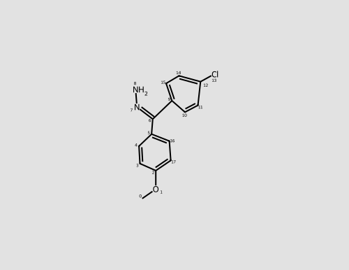 COc1ccc(C(=NN)c2ccc(Cl)cc2)cc1